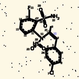 C/C(=C/c1ccc(Cl)cc1)N(c1cccc(F)c1S(N)(=O)=O)[SH](=O)=O